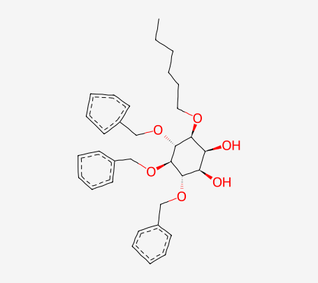 CCCCCCO[C@H]1[C@@H](O)[C@@H](O)[C@H](OCc2ccccc2)[C@@H](OCc2ccccc2)[C@@H]1OCc1ccccc1